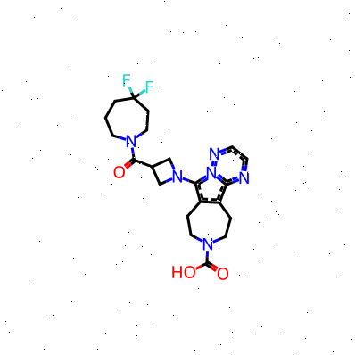 O=C(O)N1CCc2c(c3nccnn3c2N2CC(C(=O)N3CCCC(F)(F)CC3)C2)CC1